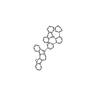 c1ccc(-c2cccc(-c3ccc(-n4c5ccccc5c5c6oc7ccccc7c6ccc54)cc3)c2-n2c3ccccc3c3ccccc32)cc1